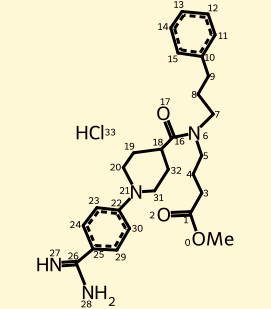 COC(=O)CCCN(CCCc1ccccc1)C(=O)C1CCN(c2ccc(C(=N)N)cc2)CC1.Cl